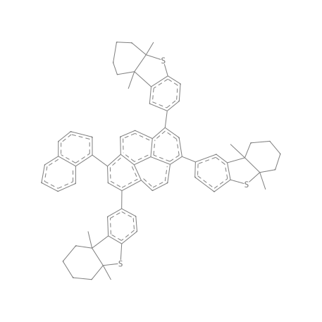 CC12CCCCC1(C)c1cc(-c3cc(-c4ccc5c(c4)C4(C)CCCCC4(C)S5)c4ccc5c(-c6cccc7ccccc67)cc(-c6ccc7c(c6)C6(C)CCCCC6(C)S7)c6ccc3c4c65)ccc1S2